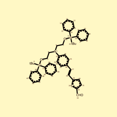 CC(C)(C)[Si](OCCN(CCO[Si](c1ccccc1)(c1ccccc1)C(C)(C)C)c1ccc(/C=C/c2ccc(C=O)s2)cc1)(c1ccccc1)c1ccccc1